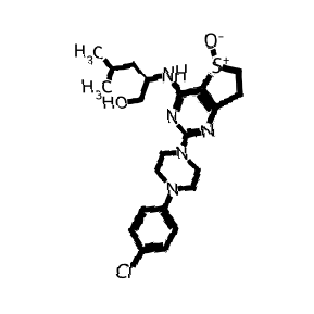 CC(C)C[C@H](CO)Nc1nc(N2CCN(c3ccc(Cl)cc3)CC2)nc2c1[S+]([O-])CC2